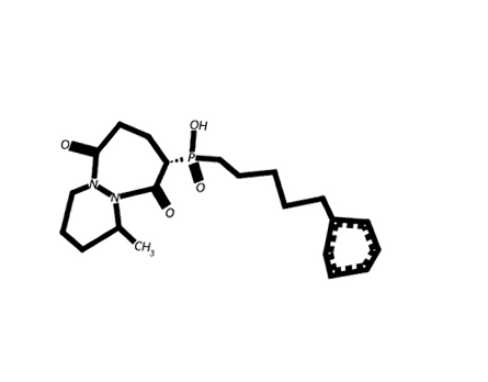 CC1CCCN2C(=O)CC[C@H](P(=O)(O)CCCCCc3ccccc3)C(=O)N12